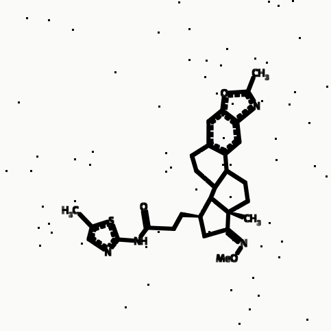 CON=C1C[C@@H](CCC(=O)Nc2ncc(C)s2)C2C3CCc4cc5oc(C)nc5cc4C3CC[C@]12C